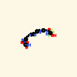 Cn1c(=O)n(C2CCC(=O)NC2=O)c2ccc(CCCN3Cc4cnc(-c5ccc6cn([C@H]7CC[C@H](CNC(=O)c8cc(F)c(O)c(F)c8F)CC7)nc6c5)cc4C3)cc21